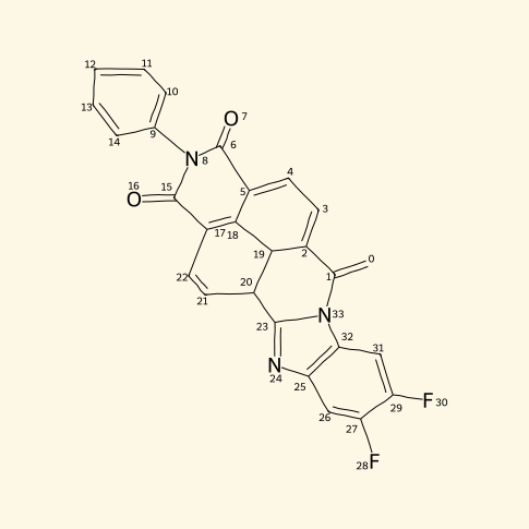 C=C1C2=CC=C3C(=O)N(c4ccccc4)C(=O)C4=C3C2C(C=C4)c2nc3cc(F)c(F)cc3n21